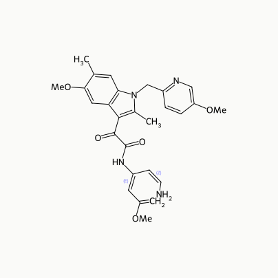 C=C(/C=C(\C=C/N)NC(=O)C(=O)c1c(C)n(Cc2ccc(OC)cn2)c2cc(C)c(OC)cc12)OC